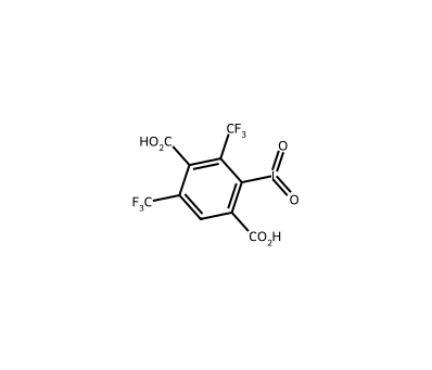 O=C(O)c1cc(C(F)(F)F)c(C(=O)O)c(C(F)(F)F)c1I(=O)=O